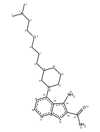 CN(C)CCOCCCC1CCCN(c2ccnc3sc(C(N)=O)c(N)c23)C1